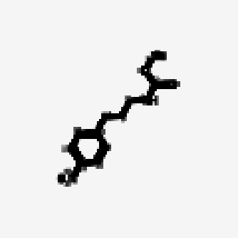 CC(C)(C)OC(=O)NCCSc1ccc([N+](=O)[O-])cc1